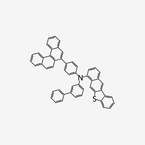 c1ccc(-c2cccc(N(c3ccc(-c4cc5ccccc5c5c4ccc4ccccc45)cc3)c3cccc4cc5c(cc34)sc3ccccc35)c2)cc1